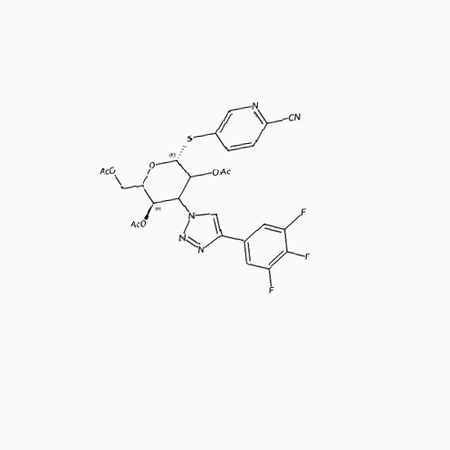 CC(=O)OCC1O[C@H](Sc2ccc(C#N)nc2)C(OC(C)=O)C(n2cc(-c3cc(F)c(F)c(F)c3)nn2)[C@H]1OC(C)=O